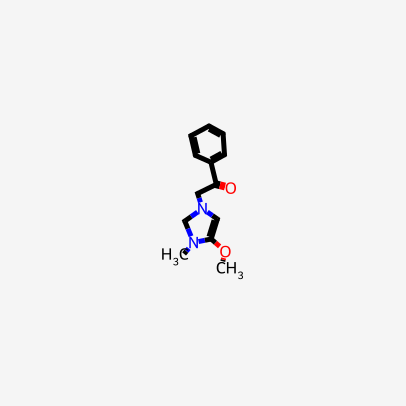 COC1=CN(CC(=O)c2ccccc2)CN1C